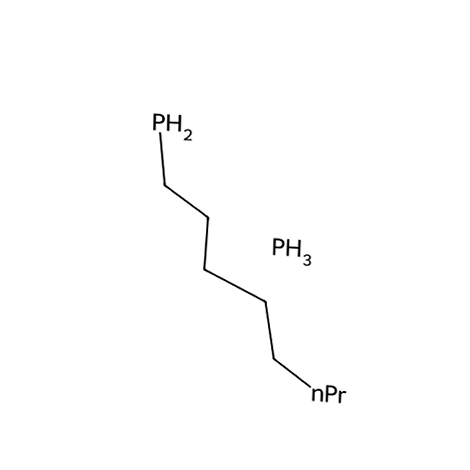 CCCCCCCCP.P